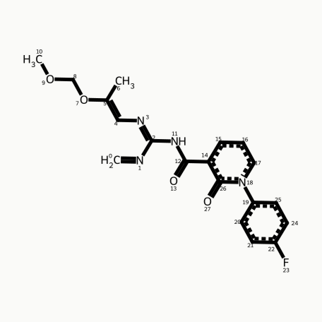 C=N/C(=N\C=C(/C)OCOC)NC(=O)c1cccn(-c2ccc(F)cc2)c1=O